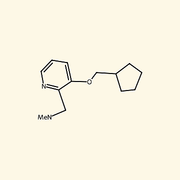 CNCc1ncccc1OCC1CCCC1